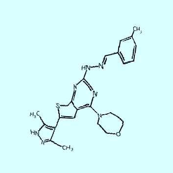 Cc1cccc(/C=N/Nc2nc(N3CCOCC3)c3cc(-c4c(C)n[nH]c4C)sc3n2)c1